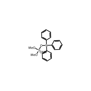 C[O][Ti]([O]C)([O]C)[O][Si](c1ccccc1)(c1ccccc1)c1ccccc1